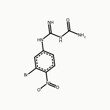 N=C(NC(N)=O)Nc1ccc([N+](=O)[O-])c(Br)c1